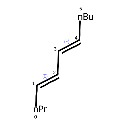 CCC/C=C/C=C/CCCC